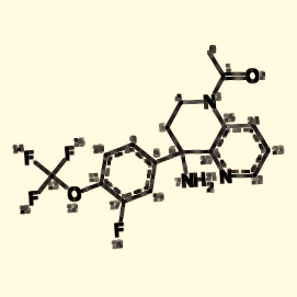 CC(=O)N1CCC(N)(c2ccc(OC(F)(F)F)c(F)c2)c2ncccc21